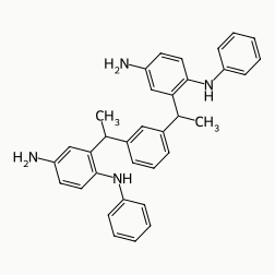 CC(c1cccc(C(C)c2cc(N)ccc2Nc2ccccc2)c1)c1cc(N)ccc1Nc1ccccc1